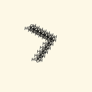 O=P(O)(O)O.O=P(O)(O)O.O=P(O)(O)O.O=P(O)(O)O.O=P(O)(O)O.O=P(O)(O)O.O=P(O)(O)O.O=P(O)(O)O.O=P(O)(O)O.O=P(O)(O)O.O=P(O)(O)O.O=P(O)(O)O